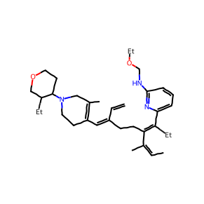 C=C/C(=C\C1=C(C)CN(C2CCOCC2CC)CC1)CCC(/C(C)=C\C)=C(/CC)c1cccc(NCOCC)n1